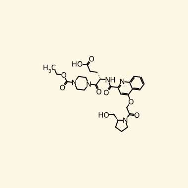 CCOC(=O)N1CCN(C(=O)[C@H](CCC(=O)O)NC(=O)c2cc(OCC(=O)N3CCC[C@H]3CO)c3ccccc3n2)CC1